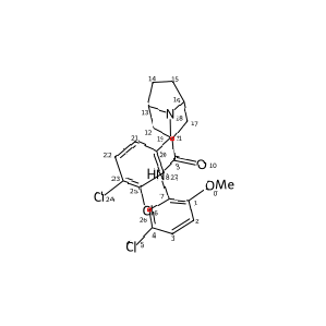 COc1ccc(Cl)cc1NC(=O)C1CC2CCC(C1)N2Cc1ccc(Cl)c(Cl)c1